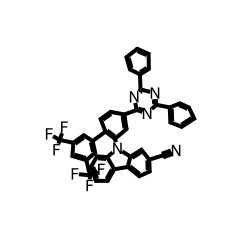 N#Cc1ccc2c3ccccc3n(-c3cc(-c4nc(-c5ccccc5)nc(-c5ccccc5)n4)ccc3-c3cc(C(F)(F)F)cc(C(F)(F)F)c3)c2c1